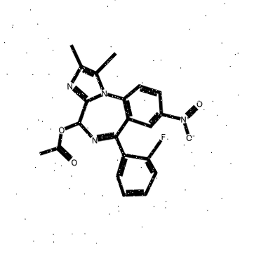 CC(=O)OC1N=C(c2ccccc2F)c2cc([N+](=O)[O-])ccc2-n2c1nc(C)c2C